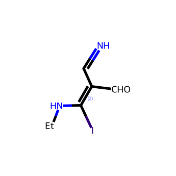 CCN/C(I)=C(\C=N)C=O